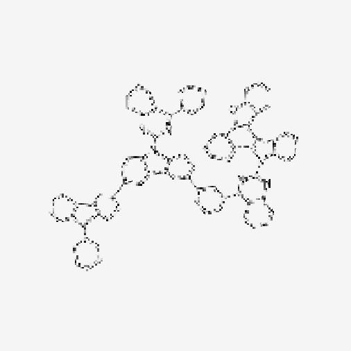 c1ccc(-c2nc(-n3c4ccc(-c5cccc(-c6nc(-n7c8ccccc8c8c9c%10ccccc%10oc9c9ccccc9c87)nc7ccccc67)c5)cc4c4cc(-c5ccc6c(c5)c5ccccc5n6-c5ccccc5)ccc43)nc3ccccc23)cc1